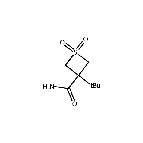 CC(C)(C)C1(C(N)=O)CS(=O)(=O)C1